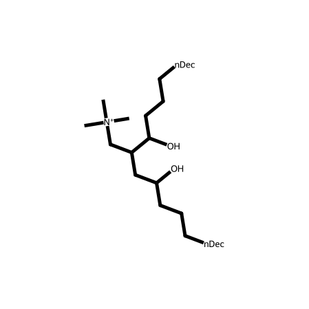 CCCCCCCCCCCCCC(O)CC(C[N+](C)(C)C)C(O)CCCCCCCCCCCCC